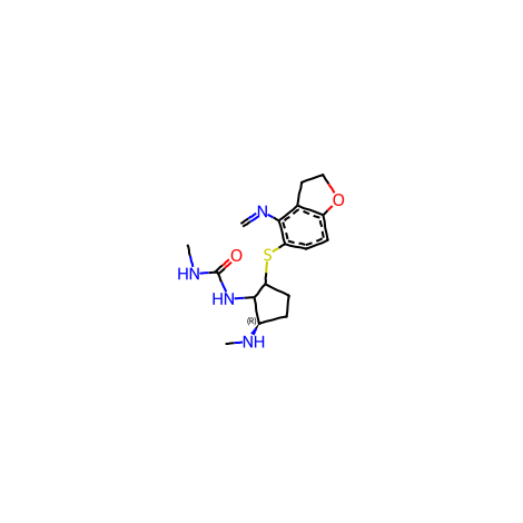 C=Nc1c(SC2CC[C@@H](NC)C2NC(=O)NC)ccc2c1CCO2